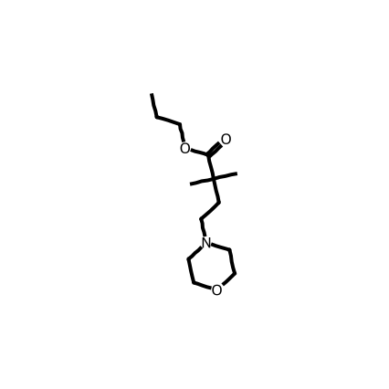 CCCOC(=O)C(C)(C)CCN1CCOCC1